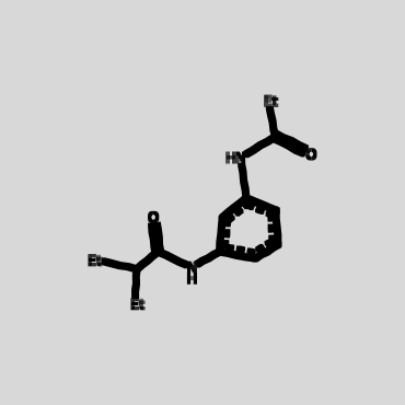 CCC(=O)Nc1cccc(NC(=O)C(CC)CC)c1